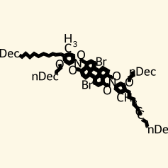 CCCCCCCCCCCCCCCCCCCCc1c(C)cc(N2C(=O)c3ccc4c5c(Br)cc6c7c(ccc(c8c(Br)cc(c3c48)C2=O)c75)C(=O)N(c2cc(C)c(CCCCCCCCCCCCCCCCCCCC)c(OCCCCCCCCCCCC)c2)C6=O)cc1OCCCCCCCCCCCC